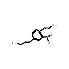 CCCCc1ccc(NCC)c([N+](=O)[O-])c1